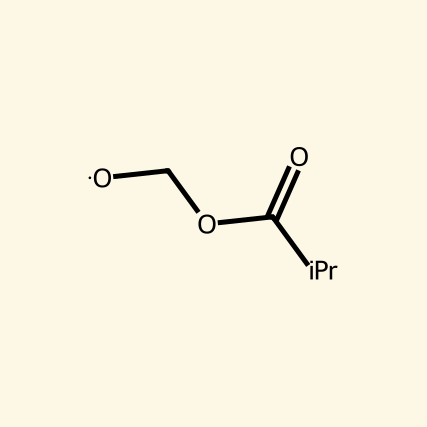 CC(C)C(=O)OC[O]